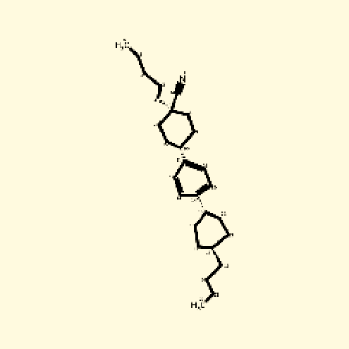 CCCCC[C@]1(C#N)CC[C@H](c2ccc([C@H]3CC[C@H](CCCC)CC3)cc2)CC1